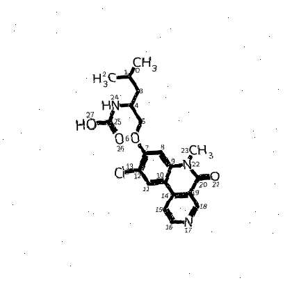 CC(C)CC(COc1cc2c(cc1Cl)c1ccncc1c(=O)n2C)NC(=O)O